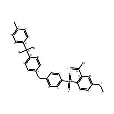 COc1ccc(S(=O)(=O)c2ccc(Oc3ccc(C(C)(C)c4ccc(C)cc4)cc3)cc2)c(C(=O)O)c1